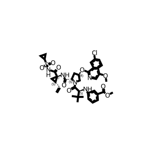 C=C[C@@H]1C[C@]1(NC(=O)[C@@H]1C[C@@H](Oc2ncc(OC)c3ccc(Cl)cc23)CN1C(=O)[C@@H](Nc1cccc(C(=O)OC)c1)C(C)(C)C)C(=O)NS(=O)(=O)C1CC1